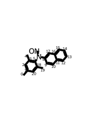 Cc1cc(C)c(N(N=O)c2ccc3ccccc3c2)c(C)c1